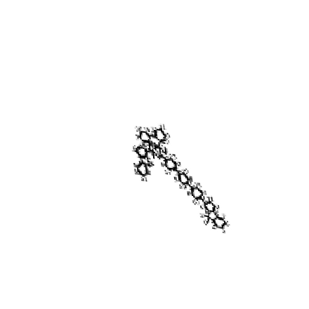 CC1(C)c2ccccc2-c2ccc(-c3ccc(-c4ccc(-c5ccc(-c6nc(-c7ccccc7-c7ccccc7)nc(-c7cccc8c7sc7ccccc78)n6)cc5)cc4)cc3)cc21